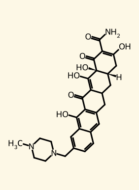 CN1CCN(Cc2ccc3cc4c(c(O)c3c2)C(=O)C2=C(O)[C@]3(O)C(=O)C(C(N)=O)=C(O)C[C@@H]3CC2C4)CC1